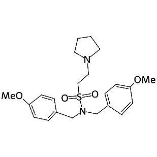 COc1ccc(CN(Cc2ccc(OC)cc2)S(=O)(=O)CCN2CCCC2)cc1